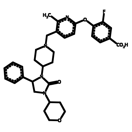 Cc1nc(Oc2ccc(C(=O)O)cc2F)ccc1CN1CCC(N2C(=O)N(C3CCOCC3)CC2c2ccccc2)CC1